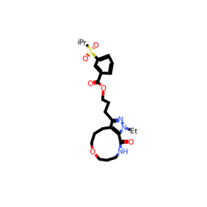 CCn1nc(CCCOC(=O)c2cccc(S(=O)(=O)C(C)C)c2)c2c1C(=O)NCCCOCCC2